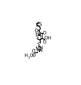 COC(=O)Cn1nnc(SCC2=C(C(=O)O)N3C(=O)C(C(=O)Cc4cccs4)[C@@H]3SC2)n1